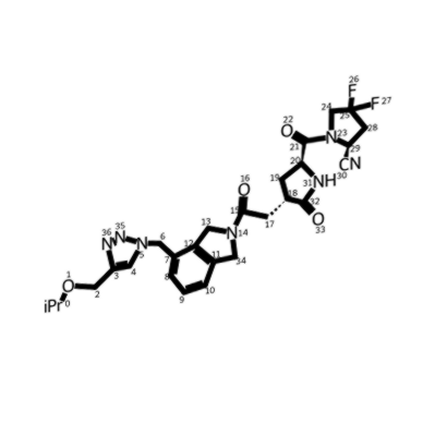 CC(C)OCc1cn(Cc2cccc3c2CN(C(=O)C[C@@H]2C[C@@H](C(=O)N4CC(F)(F)C[C@H]4C#N)NC2=O)C3)nn1